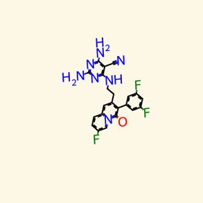 N#Cc1c(N)nc(N)nc1NCCc1cc2ccc(F)cn2c(=O)c1-c1cc(F)cc(F)c1